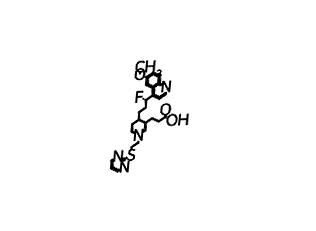 COc1ccc2nccc([C@@H](F)CCC3CCN(CCSc4ncccn4)CC3CCC(=O)O)c2c1